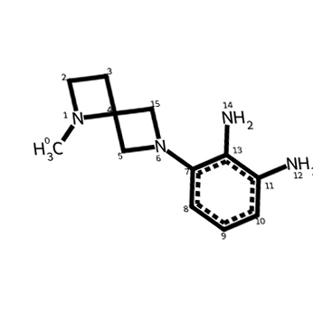 CN1CCC12CN(c1cccc(N)c1N)C2